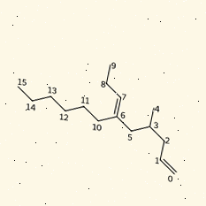 C=CCC(C)CC(=CCC)CCCCCC